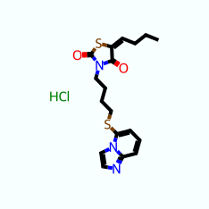 CCC/C=C1/SC(=O)N(CCCCSc2cccc3nccn23)C1=O.Cl